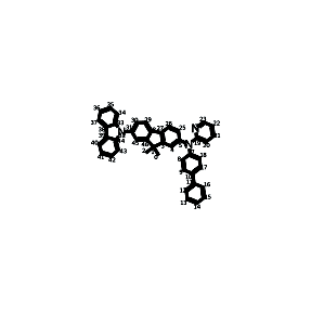 CC1(C)c2cc(N(c3ccc(-c4ccccc4)cc3)c3ccccn3)ccc2-c2ccc(-n3c4ccccc4c4ccccc43)cc21